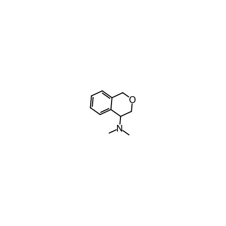 CN(C)C1COCc2ccccc21